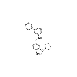 COc1ccc(CNc2cncc(-c3c[c]ccc3)c2)cc1OC1CCCC1